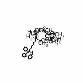 CO[C@]1(C)C[C@H](O[C@H]2CC[C@H](O)C[C@@H](C)CN(CCCCCCCC[PH](c3ccccc3)(c3ccccc3)c3ccccc3)[C@H](C)[C@@H](O)[C@](C)(O)COC(=O)[C@@H]2C)O[C@@H](C)[C@@H]1O